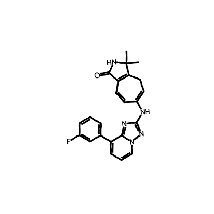 CC1(C)NC(=O)C2=C1CC=C(Nc1nc3c(-c4cccc(F)c4)cccn3n1)C=C2